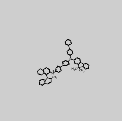 CC1C=Cc2ccccc2C1c1c(Nc2ccc(-c3ccc(N(c4ccc(-c5ccccc5)cc4)c4ccc5c(c4)C(C)(C)c4ccccc4-5)cc3)cc2)ccc2c1C=CCC2